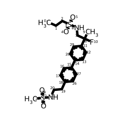 CCCS(=O)(=O)NCC(C)(F)c1ccc(-c2ccc(CCNS(C)(=O)=O)cc2)cc1